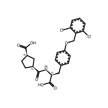 O=C(O)[C@@H]1CC[C@H](C(=O)N[C@@H](Cc2ccc(OCc3c(Cl)cccc3Cl)cc2)C(=O)O)C1